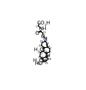 C[C@]12CCC3[C@@H](CCC4=C/C(=N/OCC(=O)NCC(=O)O)CC[C@@]43C)[C@@H]1CC[C@H]2O